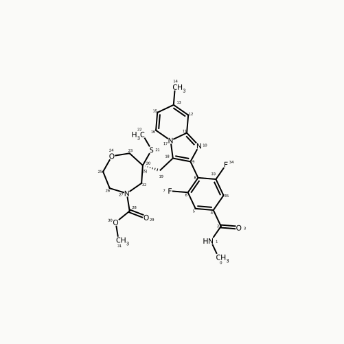 CNC(=O)c1cc(F)c(-c2nc3cc(C)ccn3c2C[C@@]2(SC)COCCN(C(=O)OC)C2)c(F)c1